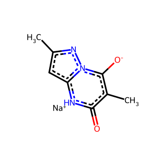 Cc1cc2[nH]c(=O)c(C)c([O-])n2n1.[Na+]